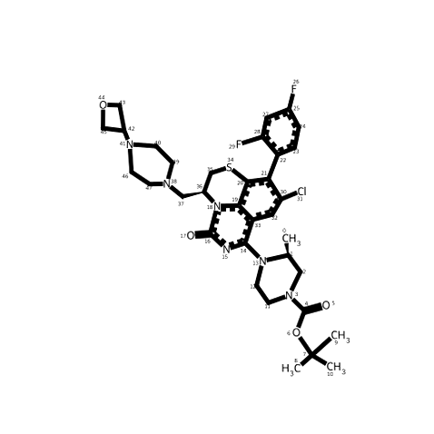 C[C@H]1CN(C(=O)OC(C)(C)C)CCN1c1nc(=O)n2c3c(c(-c4ccc(F)cc4F)c(Cl)cc13)SC[C@@H]2CN1CCN(C2COC2)CC1